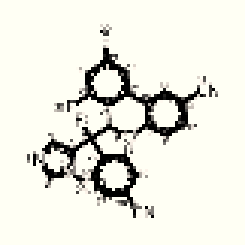 Cn1cncc1C(F)(COc1ccc(C#N)cc1-c1cc(F)cc(F)c1)c1ccc(C#N)cc1